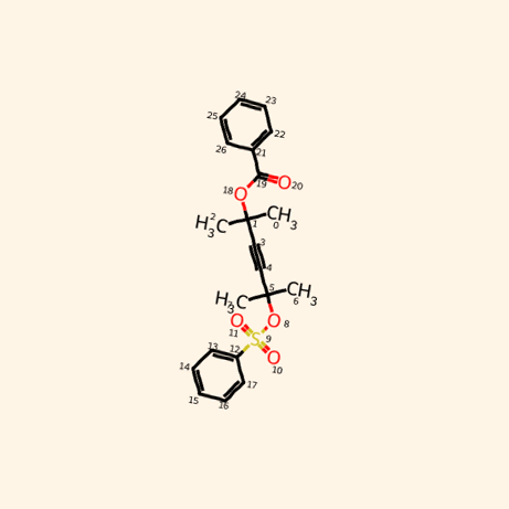 CC(C)(C#CC(C)(C)OS(=O)(=O)c1ccccc1)OC(=O)c1ccccc1